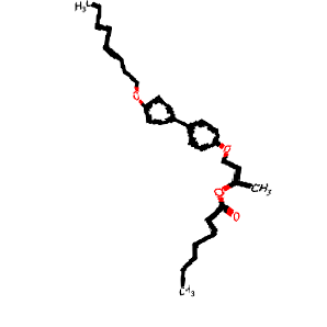 CCCCCCCCOc1ccc(-c2ccc(OCCC(C)OC(=O)CCCCCC)cc2)cc1